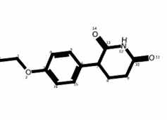 CCOc1ccc(C2CCC(=O)NC2=O)cc1